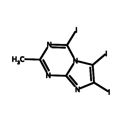 Cc1nc(I)n2c(I)c(I)nc2n1